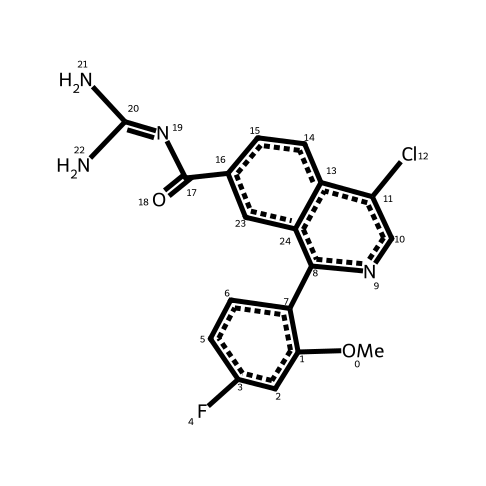 COc1cc(F)ccc1-c1ncc(Cl)c2ccc(C(=O)N=C(N)N)cc12